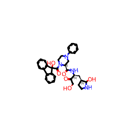 O=C(CO)[C@H](C[C@@H]1CCNC1O)NC(=O)[C@@H]1CN(c2ccccc2)CCN1C(=O)C1(O)c2ccccc2-c2ccccc21